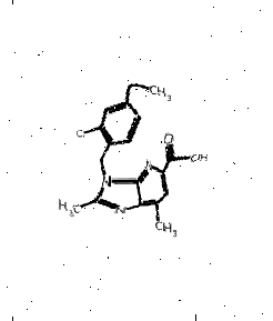 CCc1ccc(Cn2c(C)nc3c(C)cc(C(=O)O)nc32)c(Cl)c1